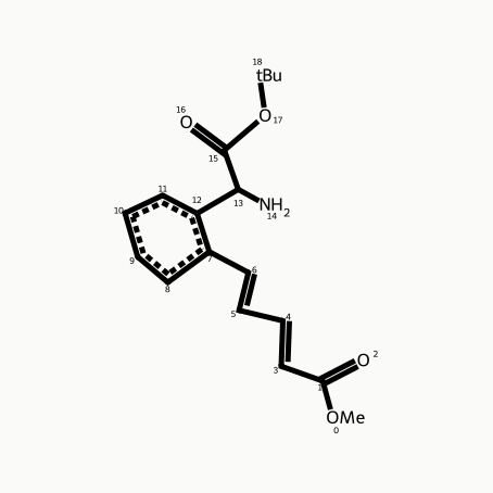 COC(=O)/C=C/C=C/c1ccccc1C(N)C(=O)OC(C)(C)C